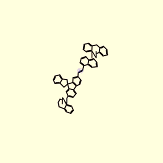 C(=C\c1cccc2c(N3c4ccccc4Cc4ccccc43)cccc12)/c1ccc2c(c1)C1(Cc3ccccc3C1)c1cc(N3CCCc4ccccc43)ccc1-2